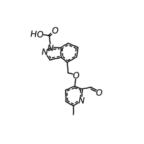 Cc1ccc(OCc2cccc3c2cnn3C(=O)O)c(C=O)n1